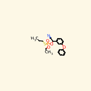 CCCSP(=O)(OCC)OC(C#N)c1cccc(Oc2ccccc2)c1